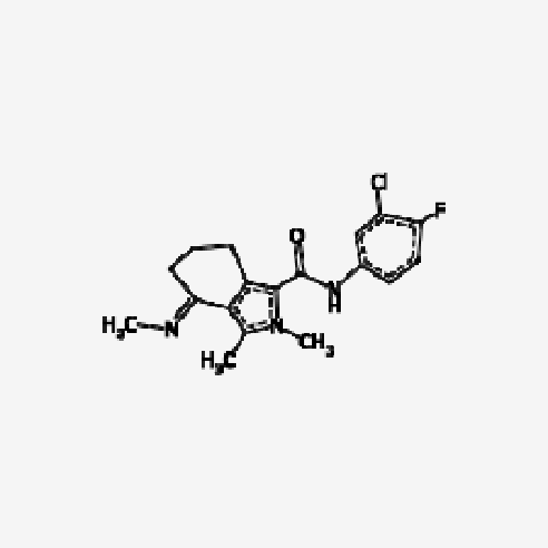 C/N=C1\CCCc2c1c(C)n(C)c2C(=O)Nc1ccc(F)c(Cl)c1